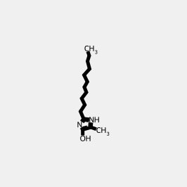 CCCCCCCCCCCc1nc(O)c(C)[nH]1